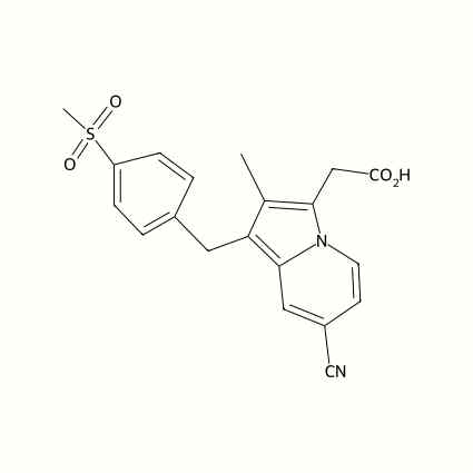 Cc1c(Cc2ccc(S(C)(=O)=O)cc2)c2cc(C#N)ccn2c1CC(=O)O